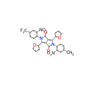 Cc1ccc(N2C(=O)C3=C(c4ccco4)N(c4ccc(C(F)(F)F)cc4[N+](=O)[O-])C(=O)C3=C2c2ccco2)c([N+](=O)[O-])c1